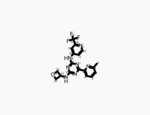 Cc1cccc(-c2nc(Nc3ccnc(C(F)(F)F)c3)nc(NC3COC3)n2)n1